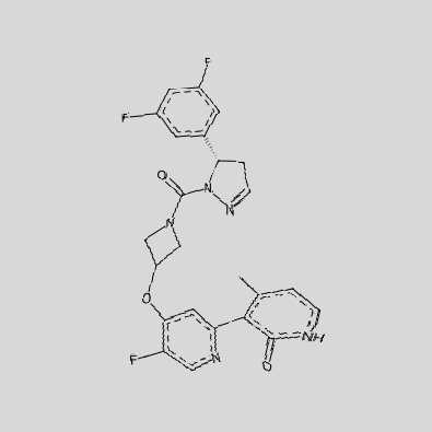 Cc1cc[nH]c(=O)c1-c1cc(OC2CN(C(=O)N3N=CC[C@H]3c3cc(F)cc(F)c3)C2)c(F)cn1